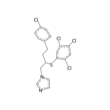 Clc1ccc(CCC(Cn2ccnc2)Sc2cc(Cl)c(Cl)cc2Cl)cc1